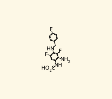 Nc1c(NC(=O)O)cc(F)c(NCc2ccc(F)cc2)c1F